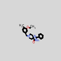 CCOc1cc(CN2CCC3(CC2)N=C(c2ccccc2)NC3=O)ccc1C